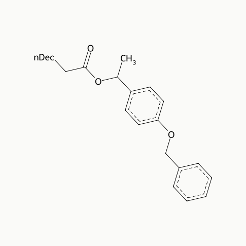 CCCCCCCCCCCC(=O)OC(C)c1ccc(OCc2ccccc2)cc1